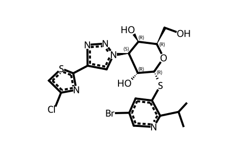 CC(C)c1ncc(Br)cc1S[C@H]1O[C@H](CO)[C@H](O)[C@H](n2cc(-c3nc(Cl)cs3)nn2)[C@H]1O